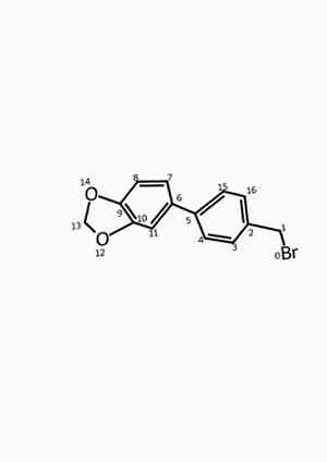 BrCc1ccc(-c2ccc3c(c2)OCO3)cc1